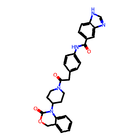 O=C(Nc1ccc(CC(=O)N2CCC(N3C(=O)OCc4ccccc43)CC2)cc1)c1ccc2[nH]cnc2c1